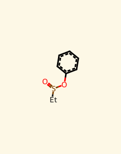 CCS(=O)Oc1ccccc1